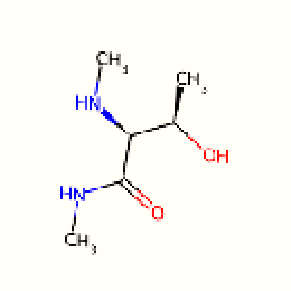 CNC(=O)[C@@H](NC)[C@@H](C)O